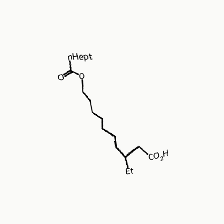 CCCCCCCC(=O)OCCCCCCCC(CC)CC(=O)O